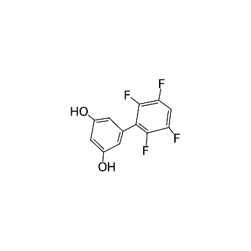 Oc1cc(O)cc(-c2c(F)c(F)cc(F)c2F)c1